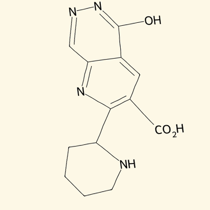 O=C(O)c1cc2c(O)nncc2nc1C1CCCCN1